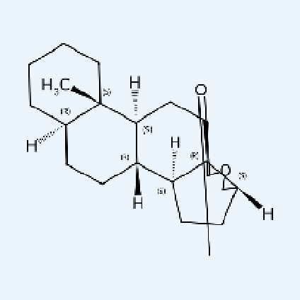 C[C@]12CCCC[C@@H]1CC[C@@H]1[C@@H]2CC[C@]23C(=O)OC[C@H]2CC[C@@H]13